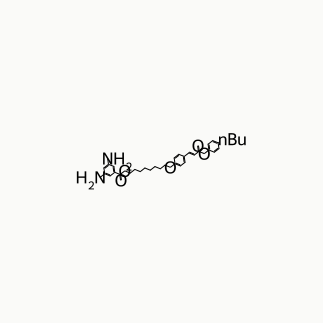 CCCCc1ccc(OC(=O)/C=C/c2ccc(OCCCCCCCCOC(=O)c3cc(N)cc(N)c3)cc2)cc1